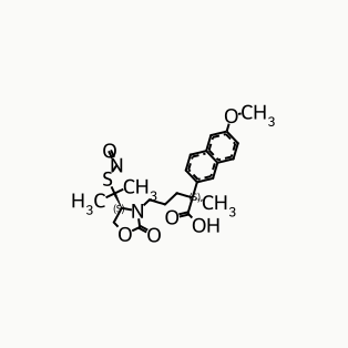 COc1ccc2cc([C@](C)(CCCN3C(=O)OC[C@H]3C(C)(C)SN=O)C(=O)O)ccc2c1